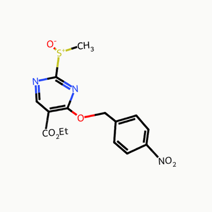 CCOC(=O)c1cnc([S+](C)[O-])nc1OCc1ccc([N+](=O)[O-])cc1